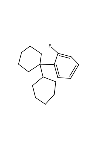 Fc1ccccc1C1(C2CCCCC2)CCCCC1